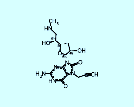 C#CCn1c(=O)n([C@@H]2O[C@H]([C@@H](O)CNC)C[C@H]2O)c2nc(N)[nH]c(=O)c21